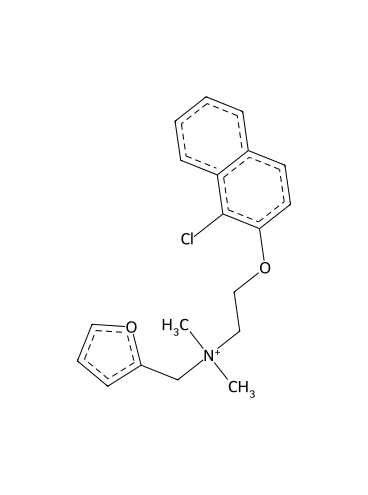 C[N+](C)(CCOc1ccc2ccccc2c1Cl)Cc1ccco1